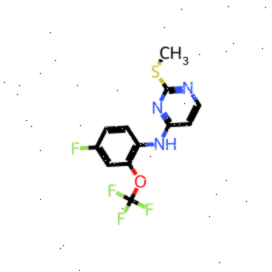 CSc1nccc(Nc2ccc(F)cc2OC(F)(F)F)n1